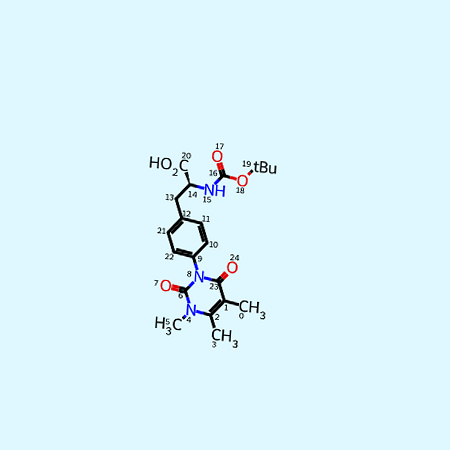 Cc1c(C)n(C)c(=O)n(-c2ccc(C[C@H](NC(=O)OC(C)(C)C)C(=O)O)cc2)c1=O